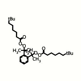 CC(C)(C)CCCCCC(=O)OOC(C)(C)c1ccccc1C(C)(C)OOC(=O)CCCCCC(C)(C)C